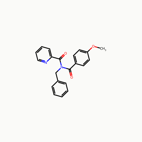 COc1ccc(C(=O)N(Cc2ccccc2)C(=O)c2ccccn2)cc1